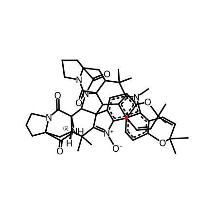 Cn1c2c(c3ccc4c(c31)C=CC(C)(C)O4)C1C34C(=[N+]([O-])c5c3ccc3c5C=CC(C)(C)O3)C(C)(C)[C@@H]3CC56CCCN5C(=O)C3(NC6=O)C4N3C(=O)C45CCCN4C(=O)C13C(C5)C2(C)C